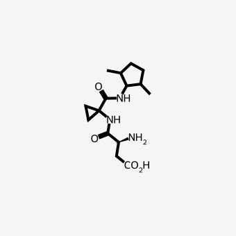 CC1CCC(C)C1NC(=O)C1(NC(=O)[C@@H](N)CC(=O)O)CC1